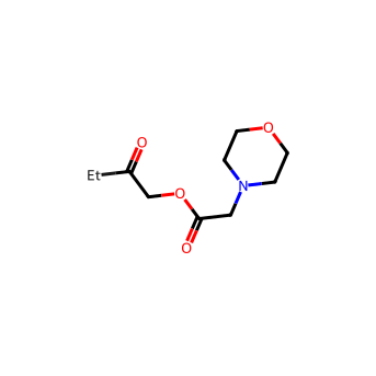 CCC(=O)COC(=O)CN1CCOCC1